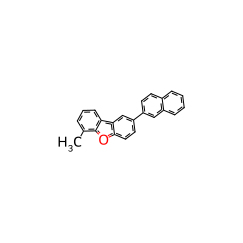 Cc1cccc2c1oc1ccc(-c3ccc4ccccc4c3)cc12